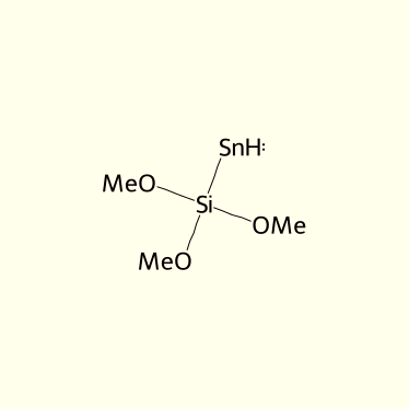 CO[Si]([SnH])(OC)OC